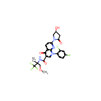 COCC(C)(NC(=O)c1cn(-c2ccc(F)cc2F)c2nc(N3C[C@@H](O)CC3=O)ccc2c1=O)C(F)(F)F